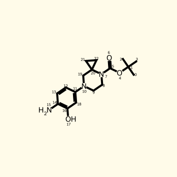 CC(C)(C)OC(=O)N1CCN(c2ccc(N)c(O)c2)CC12CC2